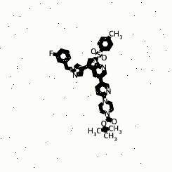 Cc1ccc(S(=O)(=O)n2cc(-c3cnn(Cc4cccc(F)c4)c3)c3cc(-c4ccc(N5CCN(C(=O)OC(C)(C)C)CC5)nc4)cnc32)cc1